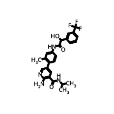 Cc1cc(NC(=O)C(O)c2cccc(C(F)(F)F)c2)ccc1-c1cnc(N)c(C(=O)NC(C)C)c1